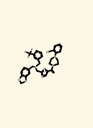 C=C(c1csc(CN(Cc2cccc(C(F)(F)F)c2)Cc2ccc3c(c2)OCO3)n1)N1CCN(c2ccccc2Cl)CC1